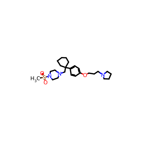 CS(=O)(=O)N1CCN(CC2(c3ccc(OCCCN4CCCC4)cc3)CCCCC2)CC1